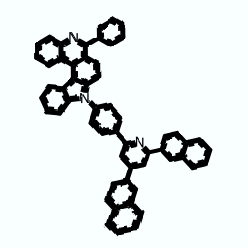 c1ccc(-c2nc3ccccc3c3c2ccc2c3c3ccccc3n2-c2ccc(-c3cc(-c4ccc5ccccc5c4)cc(-c4ccc5ccccc5c4)n3)cc2)cc1